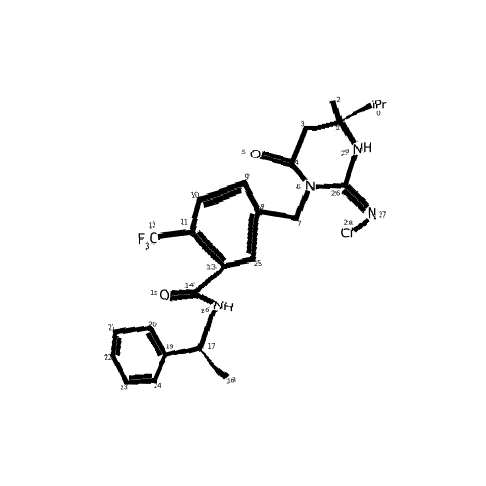 CC(C)[C@]1(C)CC(=O)N(Cc2ccc(C(F)(F)F)c(C(=O)N[C@@H](C)c3ccccc3)c2)/C(=N\Cl)N1